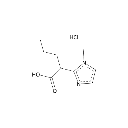 CCCC(C(=O)O)c1nccn1C.Cl